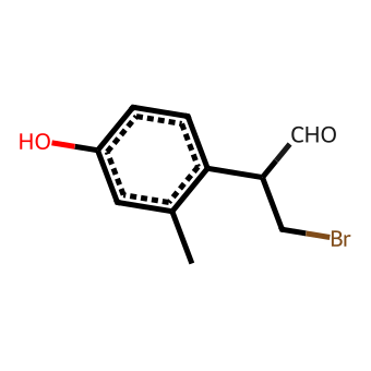 Cc1cc(O)ccc1C(C=O)CBr